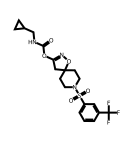 O=C(NCC1CC1)OC1=NOC2(CCN(S(=O)(=O)c3cccc(C(F)(F)F)c3)CC2)C1